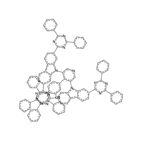 N#Cc1cccc(-c2c(-n3c4cc(-c5nc(-c6ccccc6)nc(-c6ccccc6)n5)ccc4c4ccc(-c5nc(-c6ccccc6)nc(-c6ccccc6)n5)cc43)cncc2-n2c3cc(-c4nc(-c5ccccc5)nc(-c5ccccc5)n4)ccc3c3ccc(-c4nc(-c5ccccc5)nc(-c5ccccc5)n4)cc32)c1